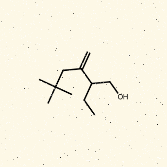 C=C(CC(C)(C)C)C(CC)CO